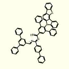 N=C(/N=C(\N=C\c1cc(-c2ccccc2)cc(-c2ccccc2)c1)c1ccc(-c2ccccc2)cc1)c1cc(-c2ccccc2)c(-n2c3ccccc3c3c4sc5ccccc5c4ccc32)c(-c2ccccc2)c1